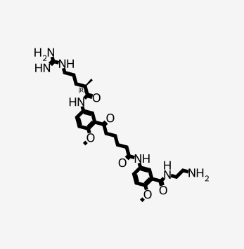 COc1ccc(NC(=O)[C@H](C)CCCNC(=N)N)cc1C(=O)CCCCC(=O)Nc1ccc(OC)c(C(=O)NCCN)c1